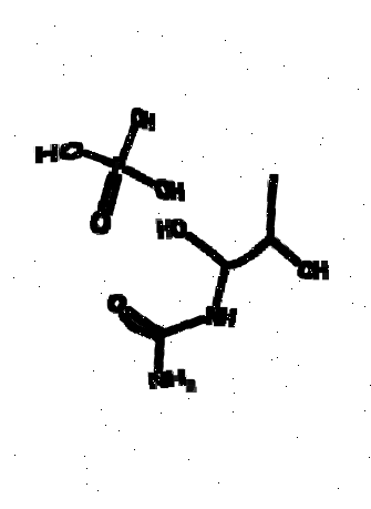 CC(O)C(O)NC(N)=O.O=P(O)(O)O